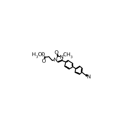 COC(=O)CCn1cc(-c2ccc(-c3ccc(C#N)cc3)cc2)n(C)c1=O